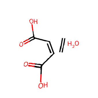 C=C.O.O=C(O)/C=C\C(=O)O